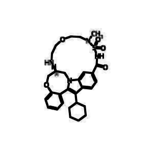 CN1CCOCCN[C@H]2COc3ccccc3-c3c(C4CCCCC4)c4ccc(cc4n3C2)C(=O)NS1(=O)=O